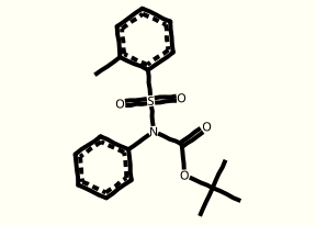 Cc1ccccc1S(=O)(=O)N(C(=O)OC(C)(C)C)c1ccccc1